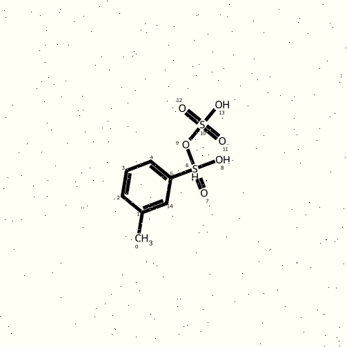 Cc1cccc([SH](=O)(O)OS(=O)(=O)O)c1